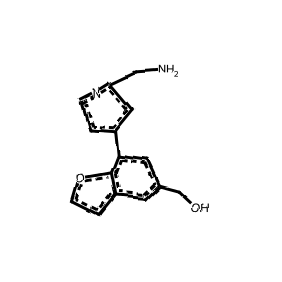 NCc1cc(-c2cc(CO)cc3ccoc23)ccn1